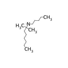 CCCCCCC(C)(C)[N]CCCCC